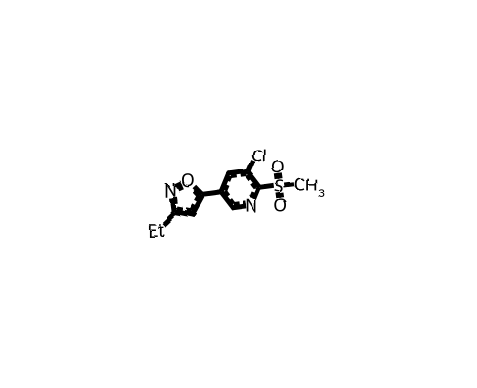 CCc1cc(-c2cnc(S(C)(=O)=O)c(Cl)c2)on1